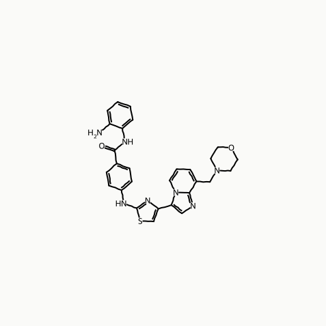 Nc1ccccc1NC(=O)c1ccc(Nc2nc(-c3cnc4c(CN5CCOCC5)cccn34)cs2)cc1